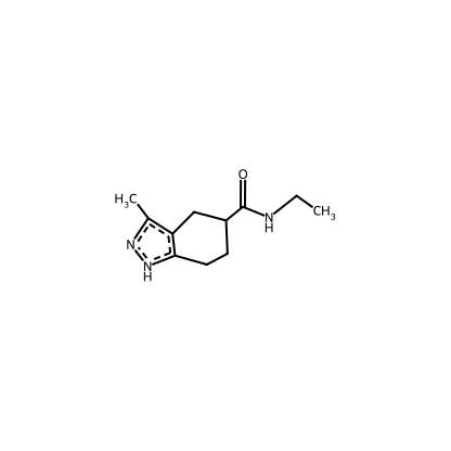 CCNC(=O)C1CCc2[nH]nc(C)c2C1